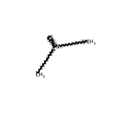 CCCCCCCCCCCCCCCCCCSC1=C(SCCCCCCCCCCCCCCCCCC)SC(=C2SC3=C(SCCS3)S2)S1